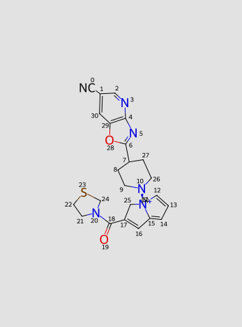 N#Cc1cnc2nc(C3CCN([N@@+]45C=CC=C4C=C(C(=O)N4CCSC4)C5)CC3)oc2c1